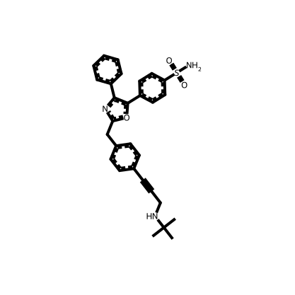 CC(C)(C)NCC#Cc1ccc(Cc2nc(-c3ccccc3)c(-c3ccc(S(N)(=O)=O)cc3)o2)cc1